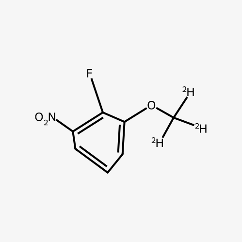 [2H]C([2H])([2H])Oc1cccc([N+](=O)[O-])c1F